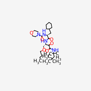 CCCCOC[C@H](NC(=O)[C@H](CC1CCCCC1)NC(=O)N1CCOCC1)C(=O)C(=O)NC(C)(C)CC(C)(C)C